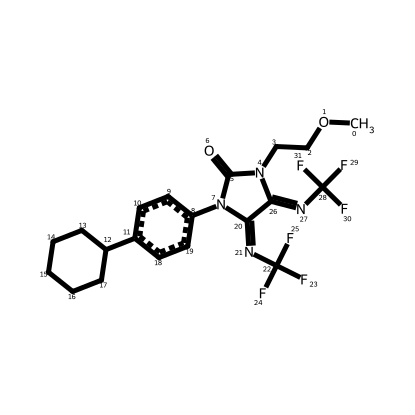 COCCN1C(=O)N(c2ccc(C3CCCCC3)cc2)C(=NC(F)(F)F)C1=NC(F)(F)F